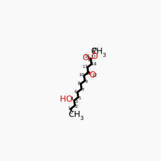 CCC[C@H](O)CCCCCCC(=O)CCC(=O)OC